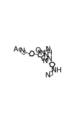 CC(=O)N1CCC(c2ccc(-c3cc4cnc(Nc5ccc(NC6CCN(C)C6)cc5)nc4n(CCN(C)C)c3=O)cc2)C1